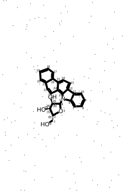 OC[C@H]1OC(n2c3ccccc3c3ccc4c5ccccc5ccc4c32)[C@H](O)[C@@H]1O